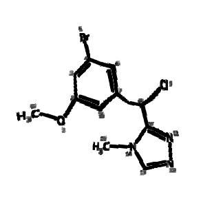 COc1cc(Br)cc(C(Cl)c2nncn2C)c1